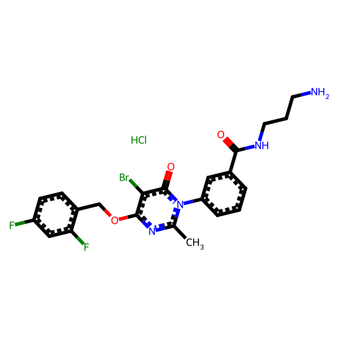 Cc1nc(OCc2ccc(F)cc2F)c(Br)c(=O)n1-c1cccc(C(=O)NCCCN)c1.Cl